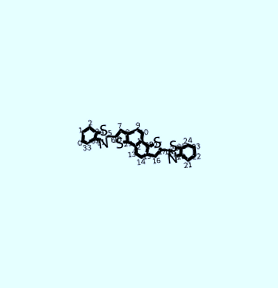 c1ccc2sc(-c3cc4ccc5c(ccc6cc(-c7nc8ccccc8s7)sc65)c4s3)nc2c1